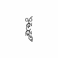 CCOC(=O)c1cn(Cc2cnc(N3CC4CC4C3)nc2C)cn1